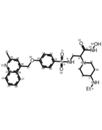 CCNC1CCN(C(CNS(=O)(=O)c2ccc(OCc3cc(C)nc4ccccc34)cc2)C(=O)NO)CC1